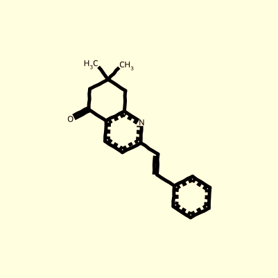 CC1(C)CC(=O)c2ccc(C=Cc3ccccc3)nc2C1